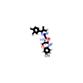 Cc1ccc(-c2nc(C(=O)N[C@H]3COc4cc(C#N)ccc4N(C)C3=O)ncc2C)cc1C